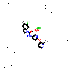 Cc1cc2c(cc1Cl)N(C(=O)Nc1ccc(Oc3cccnc3C)nc1)CC2.Cl.Cl.O